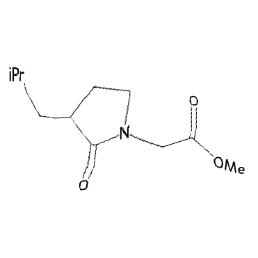 COC(=O)CN1CCC(CC(C)C)C1=O